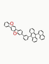 c1cc(-c2ccc3c(c2)oc2cc4c(cc23)oc2ccccc24)cc(-c2c3ccccc3c(-c3cccc4ccccc34)c3ccccc23)c1